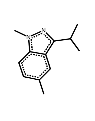 Cc1ccc2c(c1)c(C(C)C)nn2C